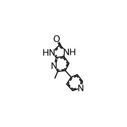 Cc1nc2[nH]c(=O)[nH]c2cc1-c1ccncc1